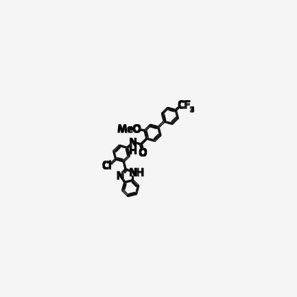 COc1cc(-c2ccc(C(F)(F)F)cc2)ccc1C(=O)Nc1ccc(Cl)c(-c2nc3ccccc3[nH]2)c1